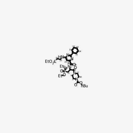 CCCCOC(=O)N1CCN(C(=O)C(CP(=O)(OCC)OCC)NC(=O)c2cc(NCCC(=O)OCC)nc(-c3ccccc3)n2)CC1